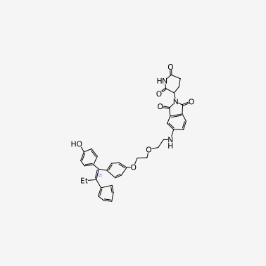 CC/C(=C(\c1ccc(O)cc1)c1ccc(OCCOCCNc2ccc3c(c2)C(=O)N(C2CCC(=O)NC2=O)C3=O)cc1)c1ccccc1